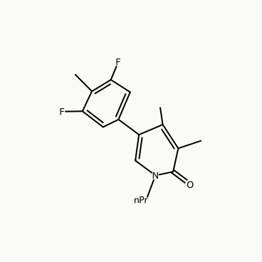 CCCn1cc(-c2cc(F)c(C)c(F)c2)c(C)c(C)c1=O